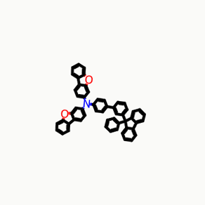 c1ccc(C2(c3cccc(-c4ccc(N(c5ccc6c(c5)oc5ccccc56)c5ccc6c(c5)oc5ccccc56)cc4)c3)c3ccccc3-c3ccccc32)cc1